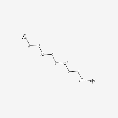 CCCOCCOCCOCCC(C)=O